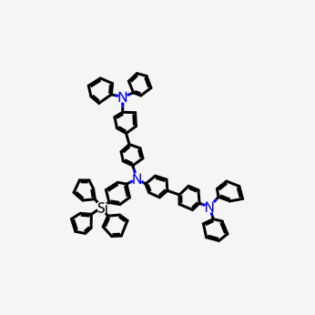 c1ccc(N(c2ccccc2)c2ccc(-c3ccc(N(c4ccc(-c5ccc(N(c6ccccc6)c6ccccc6)cc5)cc4)c4ccc([Si](c5ccccc5)(c5ccccc5)c5ccccc5)cc4)cc3)cc2)cc1